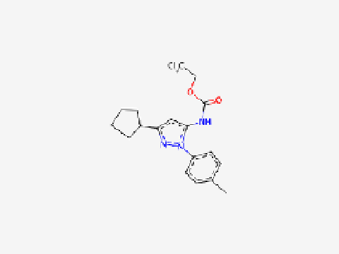 Cc1ccc(-n2nc(C3CCCC3)cc2NC(=O)OCC(Cl)(Cl)Cl)cc1